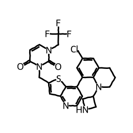 O=c1ccn(CC(F)(F)F)c(=O)n1Cc1cc2nccc(-c3cc(Cl)cc4c3N(C3CNC3)CCC4)c2s1